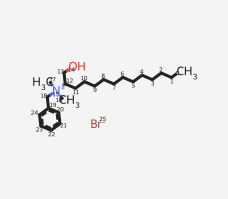 CCCCCCCCCCCCC(CO)[N+](C)(C)Cc1ccccc1.[Br-]